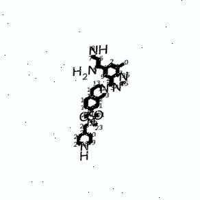 Cc1cc(/C(N)=C/C=N)cc2c(N3CCc4ccc(S(=O)(=O)N(C)CC5CCNCC5)cc4C3)ncnc12